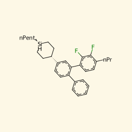 CCCCC[Si@H]1CC[C@H](c2ccc(-c3ccccc3)c(-c3ccc(CCC)c(F)c3F)c2)CC1